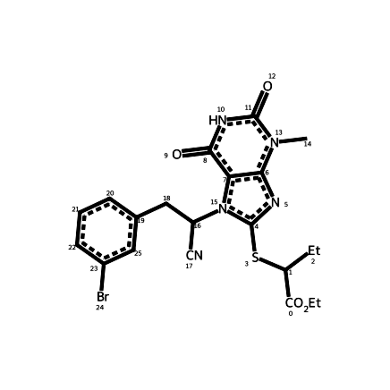 CCOC(=O)C(CC)Sc1nc2c(c(=O)[nH]c(=O)n2C)n1C(C#N)Cc1cccc(Br)c1